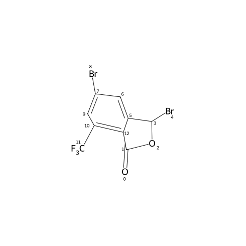 O=C1OC(Br)c2cc(Br)cc(C(F)(F)F)c21